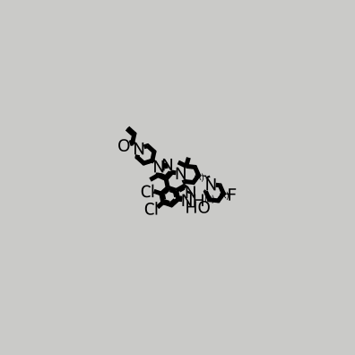 C=CC(=O)N1CCC(n2nc(N3CC[C@@H](CN4C[C@H](O)C[C@@H](F)C4)CC3(C)C)c(-c3c(Cl)c(Cl)cc4[nH]ncc34)c2C)CC1